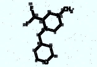 [CH2]N1CCN(CC2CCOCC2)C(C(F)F)C1